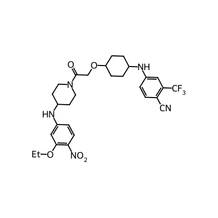 CCOc1cc(NC2CCN(C(=O)COC3CCC(Nc4ccc(C#N)c(C(F)(F)F)c4)CC3)CC2)ccc1[N+](=O)[O-]